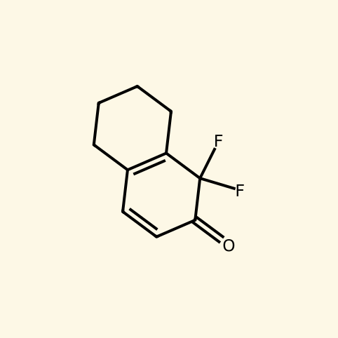 O=C1C=CC2=C(CCCC2)C1(F)F